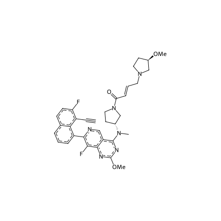 C#Cc1c(F)ccc2cccc(-c3ncc4c(N(C)[C@@H]5CCN(C(=O)/C=C/CN6CC[C@@H](OC)C6)C5)nc(OC)nc4c3F)c12